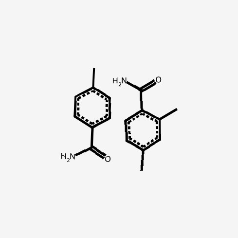 Cc1ccc(C(N)=O)c(C)c1.Cc1ccc(C(N)=O)cc1